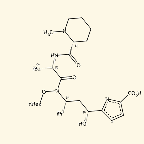 CCCCCCON(C(=O)[C@@H](NC(=O)[C@H]1CCCCN1C)[C@@H](C)CC)[C@H](C[C@@H](O)c1nc(C(=O)O)cs1)C(C)C